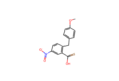 COc1ccc(Cc2ccc([N+](=O)[O-])cc2C(O)=S)cc1